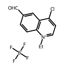 CC[n+]1ccc(Cl)c2cc(C=O)ccc21.F[B-](F)(F)F